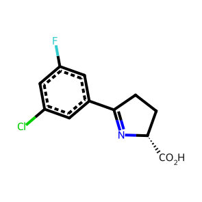 O=C(O)[C@H]1CCC(c2cc(F)cc(Cl)c2)=N1